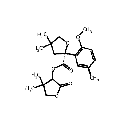 COc1ccc(C)cc1[C@@]1(C(=O)O[C@H]2C(=O)OCC2(C)C)CC(C)(C)CO1